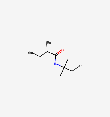 CC(=O)CC(C)(C)NC(=O)C(CC(C)(C)C)C(C)(C)C